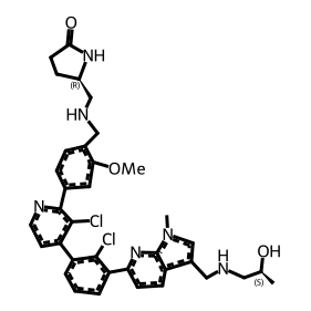 COc1cc(-c2nccc(-c3cccc(-c4ccc5c(CNC[C@H](C)O)cn(C)c5n4)c3Cl)c2Cl)ccc1CNC[C@H]1CCC(=O)N1